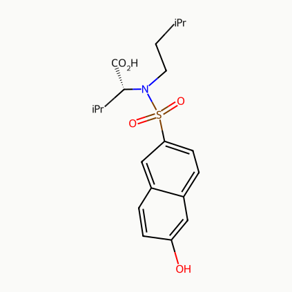 CC(C)CCN([C@@H](C(=O)O)C(C)C)S(=O)(=O)c1ccc2cc(O)ccc2c1